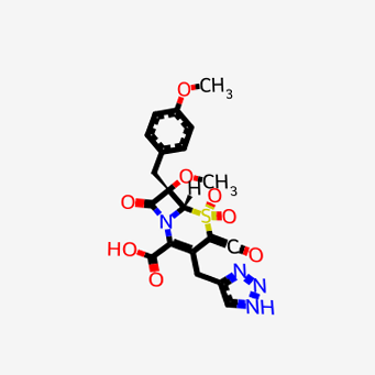 COc1ccc(C[C@]2(OC)C(=O)N3C(C(=O)O)=C(Cc4c[nH]nn4)C(=C=O)S(=O)(=O)[C@H]32)cc1